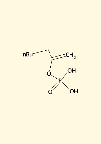 C=C(CCCCC)OP(=O)(O)O